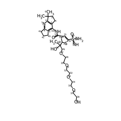 CC1(C)CCc2c1nc1c(c2NC(=O)N2C=C(S(=N)(N)=O)SC2[C@@](C)(O)COCCOCCOCCOCCO)CCC1